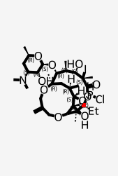 C=C1COC2[C@@H](C)[C@@H](OPCl)[C@H](C)C[C@@](C)(OC1)[C@H](O[C@@H]1O[C@H](C)C[C@H](N(C)C)[C@H]1O)[C@@H](C)[C@H](O)[C@](C)(I)C(=O)O[C@H](CC)[C@@]2(C)O